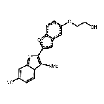 CNC1=C(c2cc3cc(OCCO)ccc3o2)N=C2C=C(C#N)C=CC21